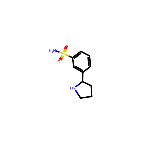 NS(=O)(=O)c1cccc(C2CCCN2)c1